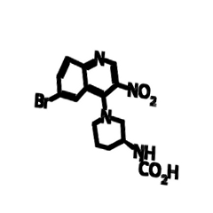 O=C(O)N[C@H]1CCCN(c2c([N+](=O)[O-])cnc3ccc(Br)cc23)C1